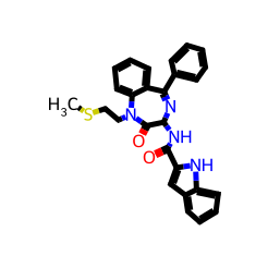 CSCCN1C(=O)C(NC(=O)c2cc3ccccc3[nH]2)N=C(c2ccccc2)c2ccccc21